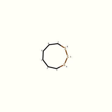 C1CCCSSSCC1